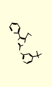 FC(F)(F)c1ccnc(Nc2nc(-c3ccccn3)c(CCl)s2)c1